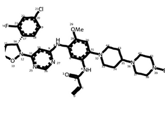 C=CC(=O)Nc1cc(Nc2cc(N3OCC[C@@H]3c3ccc(Cl)cc3F)ncn2)c(OC)cc1N1CCC(N2CCN(CC)CC2)CC1